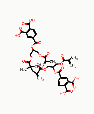 C=C(C)C(=O)OCC(COC(=O)C(=C)CC(C)(C)C(=O)OCC(COC(=O)C(=C)C)OC(=O)c1ccc(C(=O)O)c(C(=O)O)c1)OC(=O)c1ccc(C(=O)O)c(C(=O)O)c1